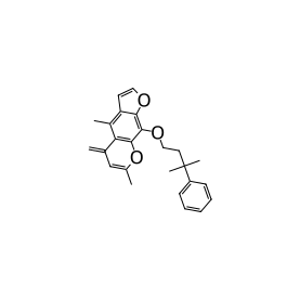 C=C1C=C(C)Oc2c1c(C)c1ccoc1c2OCCC(C)(C)c1ccccc1